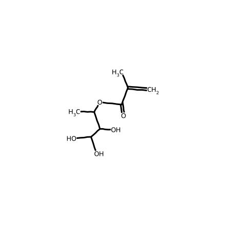 C=C(C)C(=O)OC(C)C(O)C(O)O